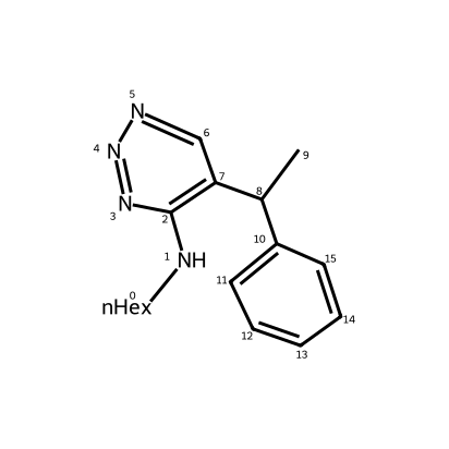 CCCCCCNc1nnncc1C(C)c1ccccc1